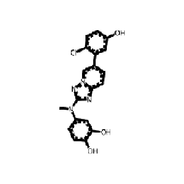 CN(c1ccc(O)c(O)c1)c1nc2ccc(-c3cc(O)ccc3Cl)cn2n1